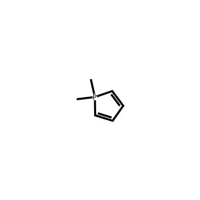 C[P]1(C)C=CC=C1